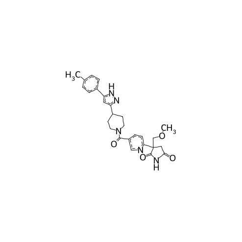 COCC1(c2ccc(C(=O)N3CCC(c4cc(-c5ccc(C)cc5)[nH]n4)CC3)cn2)CC(=O)NC1=O